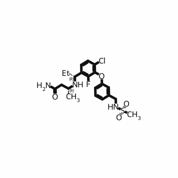 CC[C@@H](N[C@H](C)CC(N)=O)c1ccc(Cl)c(Oc2cccc(CNS(C)(=O)=O)c2)c1F